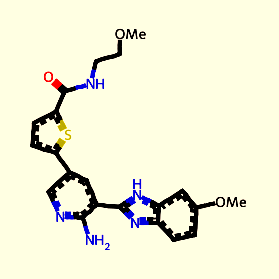 COCCNC(=O)c1ccc(-c2cnc(N)c(-c3nc4ccc(OC)cc4[nH]3)c2)s1